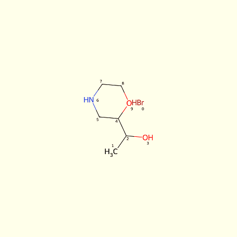 Br.CC(O)C1CNCCO1